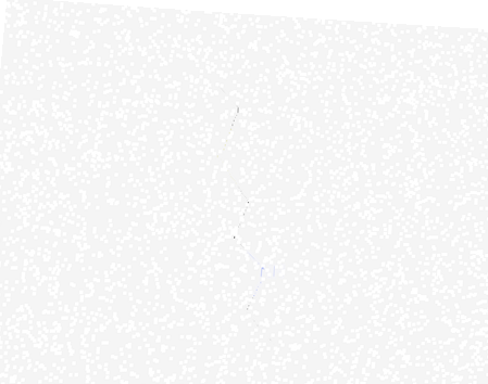 CCNCCSCC